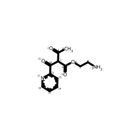 CC(=O)C(C(=O)OCCN)C(=O)c1ccccn1